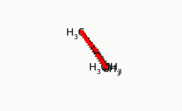 CCCCCCCCCCCCCCCCCCCCCCCCCCCCC[CH][Si](C)(C)C